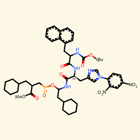 COC(=O)C(CC1CCCCC1)C[PH](=O)OC(CC1CCCCC1)NC(=O)[C@H](Cc1cn(-c2ccc([N+](=O)[O-])cc2[N+](=O)[O-])cn1)NC(=O)C(Cc1cccc2ccccc12)NC(=O)OC(C)(C)C